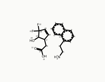 NCCc1cccc2ccccc12.O=C(O)CC1C=CC(F)(F)C1O